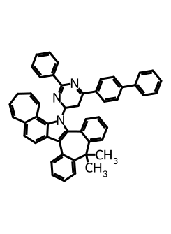 CC1(C)c2ccccc2-c2c(n(C3CC(c4ccc(-c5ccccc5)cc4)=NC(c4ccccc4)=N3)c3c4c(ccc23)C=CCC=C4)-c2ccccc21